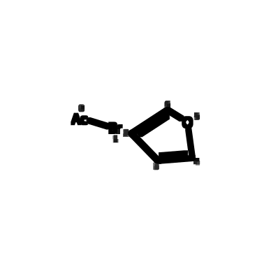 CC(=O)Br.c1ccoc1